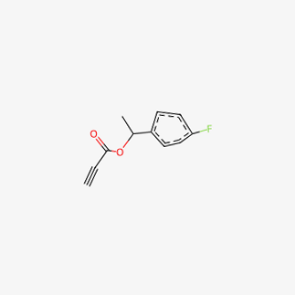 C#CC(=O)OC(C)c1ccc(F)cc1